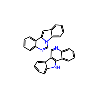 c1ccc2c(c1)cc1c3ccccc3ncn21.c1ccc2c(c1)ncc1c3ccccc3[nH]c21